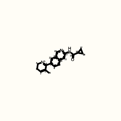 CC1=CCCN=C1c1ccc2cc(NC(=O)C3CC3)ncc2c1